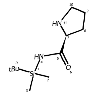 CC(C)(C)[Si](C)(C)NC(=O)[C@@H]1CCCN1